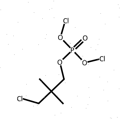 CC(C)(CCl)COP(=O)(OCl)OCl